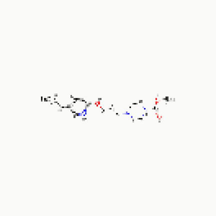 CC(C)(C)OC(=O)N1CCN(CCCOc2ccc(CC(=O)O)cn2)CC1